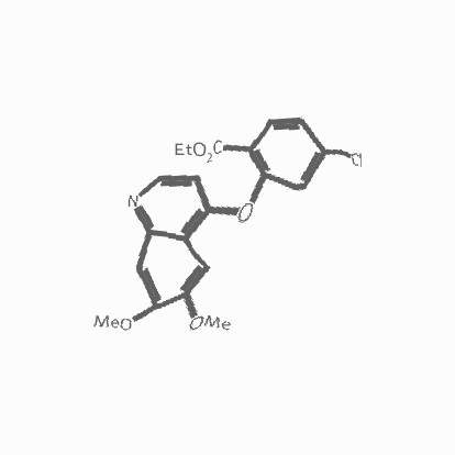 CCOC(=O)c1ccc(Cl)cc1Oc1ccnc2cc(OC)c(OC)cc12